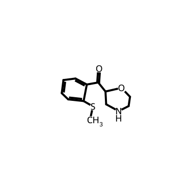 CSc1ccccc1C(=O)C1CNCCO1